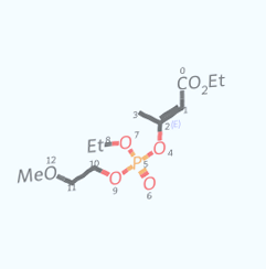 CCOC(=O)/C=C(\C)OP(=O)(OCC)OCCOC